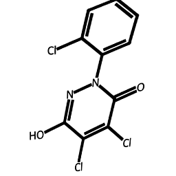 O=c1c(Cl)c(Cl)c(O)nn1-c1ccccc1Cl